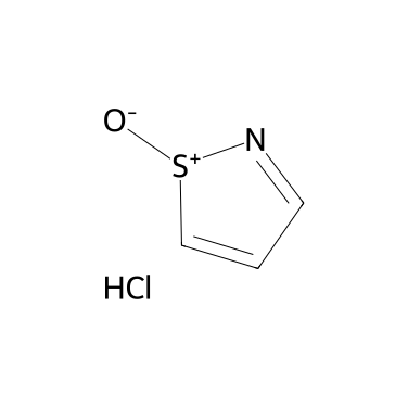 Cl.[O-][s+]1cccn1